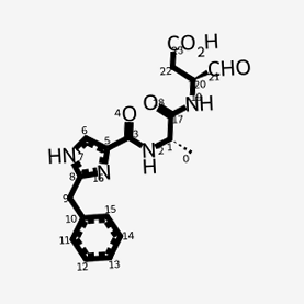 C[C@H](NC(=O)c1c[nH]c(Cc2ccccc2)n1)C(=O)N[C@H](C=O)CC(=O)O